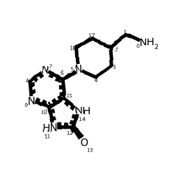 NCC1CCN(c2ncnc3[nH]c(=O)[nH]c23)CC1